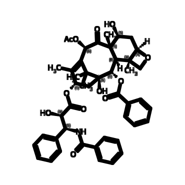 CC(=O)O[C@H]1C(=O)[C@@]2(C)[C@H]([C@H](OC(=O)c3ccccc3)[C@]3(O)C[C@H](OC(=O)[C@H](O)[C@@H](NC(=O)c4ccccc4)c4ccccc4)C(C)=C1C3(C)C)[C@]1(C)CO[C@@H]1C[C@@H]2O